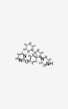 c1cnc(Oc2ccc3c(c2)C(C2CCCCC2)CCC3N2CCNCC2)nc1